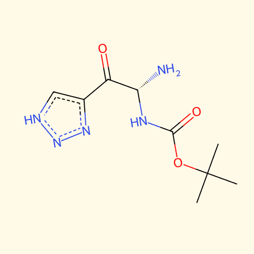 CC(C)(C)OC(=O)N[C@@H](N)C(=O)c1c[nH]nn1